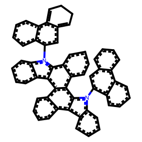 C1=c2cc(-n3c4ccccc4c4c5c6ccccc6c6c7ccccc7n(-c7cc8ccccc8c8ccccc78)c6c5c5ccccc5c43)c3ccccc3c2=CCC1